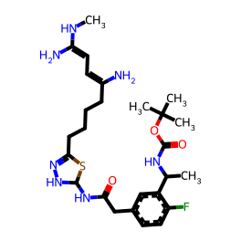 CN/C(N)=C/C=C(\N)CCCCC1=NNC(NC(=O)Cc2ccc(F)c(C(C)NC(=O)OC(C)(C)C)c2)S1